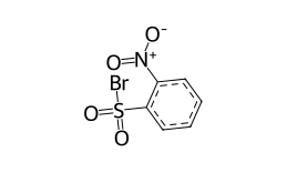 O=[N+]([O-])c1ccccc1S(=O)(=O)Br